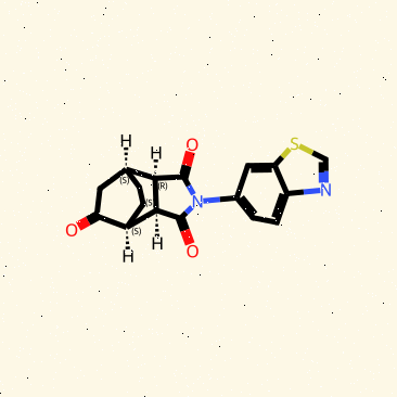 O=C1C[C@@H]2CC[C@H]1[C@@H]1C(=O)N(c3ccc4ncsc4c3)C(=O)[C@H]21